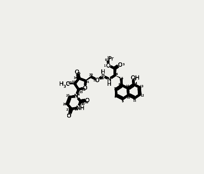 CC(C)OC(=O)[C@H](Cc1cccc2cccc(O)c12)NPOC[C@H]1OC(n2ccc(=O)[nH]c2=O)[C@@H](C)C1=O